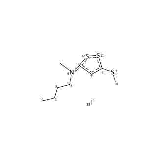 CCCC[N+](C)=c1cc(SC)ss1.[I-]